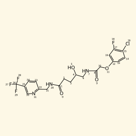 O=C(CCC(O)CNC(=O)COc1ccc(Cl)c(F)c1)NCc1ccc(C(F)(F)F)cn1